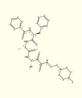 CC(C)[C@H](NC(=O)[C@H](C)NC(=O)[C@H](Cc1ccccc1)NC(=O)c1ccccc1)C(=O)C(=O)NCCN1CCN(C)CC1